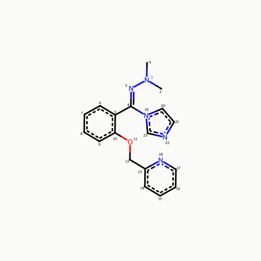 CN(C)N=C(c1ccccc1OCc1ccccn1)n1ccnc1